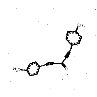 Cc1ccc(C#CC(=O)C#Cc2ccc(C)cc2)cc1